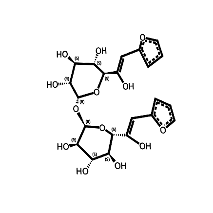 OC(=Cc1ccco1)[C@H]1O[C@H](O[C@H]2O[C@H](C(O)=Cc3ccco3)[C@@H](O)[C@H](O)[C@H]2O)[C@H](O)[C@@H](O)[C@@H]1O